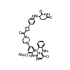 COc1cc(N2CCN(C(=O)C3CC(c4ccc(NC5CCC(=O)NC5=O)cc4)C3)CC2)ccc1Nc1ncc(Cl)c(Nc2ccccc2C(C)=O)n1